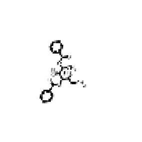 C=CC(C)C(OC(=O)c1ccccc1)C(C)C(C)OC(=O)c1ccccc1